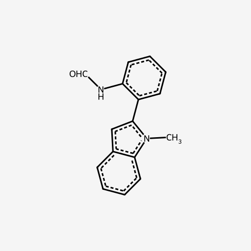 Cn1c(-c2ccccc2NC=O)cc2ccccc21